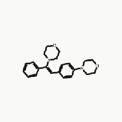 C(=C(c1ccccc1)N1CCOCC1)c1ccc(N2CCOCC2)cc1